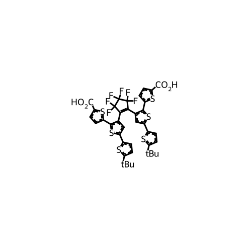 CC(C)(C)c1ccc(-c2cc(C3=C(c4cc(-c5ccc(C(C)(C)C)s5)sc4-c4ccc(C(=O)O)s4)C(F)(F)C(F)(F)C3(F)F)c(-c3ccc(C(=O)O)s3)s2)s1